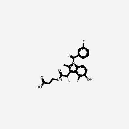 Cc1c([C@H](C)C(=O)NCCC(=O)O)c2c(F)c(O)ccc2n1C(=O)c1cccc(F)c1